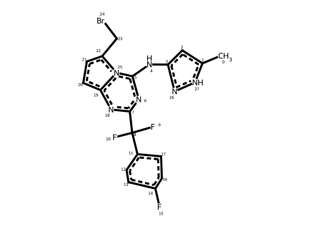 Cc1cc(Nc2nc(C(F)(F)c3ccc(F)cc3)nc3ccc(CBr)n23)n[nH]1